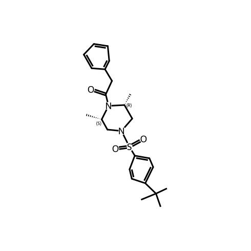 C[C@@H]1CN(S(=O)(=O)c2ccc(C(C)(C)C)cc2)C[C@H](C)N1C(=O)Cc1ccccc1